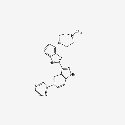 CN1CCN(c2cccc3[nH]c(-c4n[nH]c5ccc(-c6cnccn6)cc45)cc23)CC1